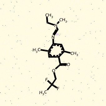 CCN(C)/C=N/c1cc(C)c(C(=O)OCC(C)(F)F)cc1C